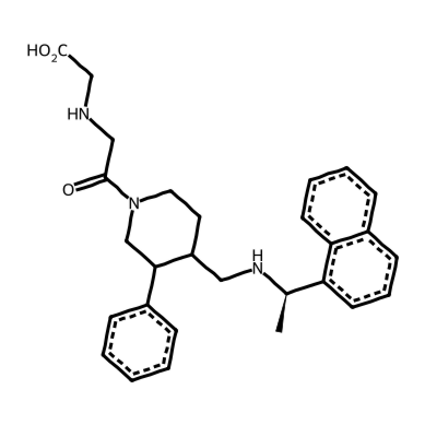 C[C@@H](NCC1CCN(C(=O)CNCC(=O)O)CC1c1ccccc1)c1cccc2ccccc12